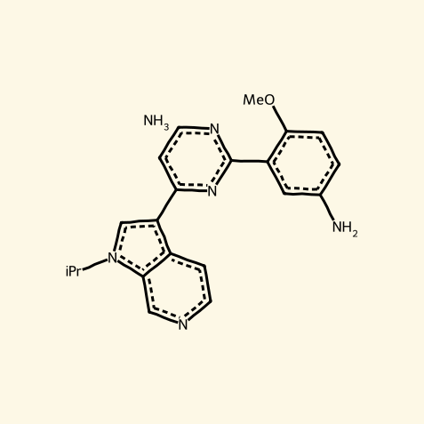 COc1ccc(N)cc1-c1nccc(-c2cn(C(C)C)c3cnccc23)n1.N